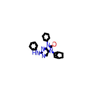 O=c1n(-c2ccccc2)c2nc(Nc3ccccc3)ncc2n1C1CC2CCC1C2